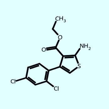 CCOC(=O)c1c(-c2ccc(Cl)cc2Cl)csc1N